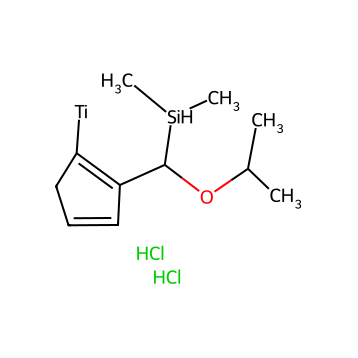 CC(C)OC(C1=[C]([Ti])CC=C1)[SiH](C)C.Cl.Cl